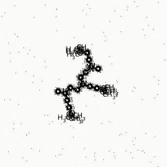 CC1(C)OB(c2ccc(-c3ccc(-c4cc(-c5ccccc5)nc(-c5cccc(-c6cccc(-c7cc(-c8ccc(-c9ccc(B%10OC(C)(C)C(C)(C)O%10)cc9)cc8)nc(-c8cccc(-c9ccc(-c%10nc(-c%11ccccc%11)nc(-c%11ccc(-c%12cccc(B%13OC(C)(C)C(C)(C)O%13)c%12)cc%11)n%10)cc9)c8)n7)c6)c5)n4)cc3)cc2)OC1(C)C